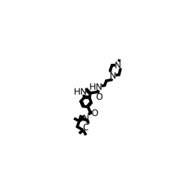 CN1CCN(CCCNC(=O)c2c[nH]c3ccc(C(=O)N4CC5(C)CC4CC(C)(C)C5)cc23)CC1